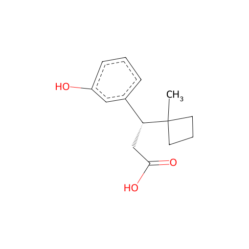 CC1([C@H](CC(=O)O)c2cccc(O)c2)CCC1